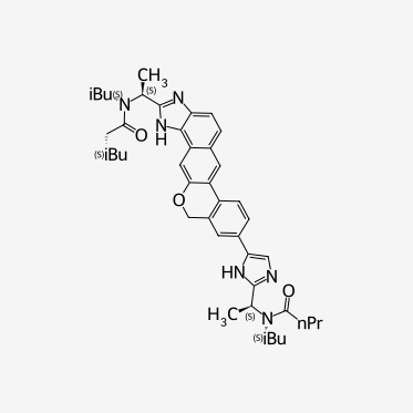 CCCC(=O)N([C@@H](C)CC)[C@@H](C)c1ncc(-c2ccc3c(c2)COc2cc4c(ccc5nc([C@H](C)N(C(=O)C[C@@H](C)CC)[C@@H](C)CC)[nH]c54)cc2-3)[nH]1